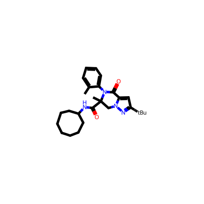 Cc1ccccc1N1C(=O)c2cc(C(C)(C)C)nn2CC1(C)C(=O)NC1CCCCCCC1